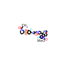 C=CC(=O)N1CCCC[C@@H](S(=O)(=O)c2ccc(N3CC(O)(CN4CCC([C@@](CN5CCC5)(c5cccc(F)c5)[C@H]5CCC[C@@H]5NC(=O)OC)CC4)C3)c(F)c2)C1